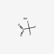 O=[SH](=O)C(F)(F)F.[KH]